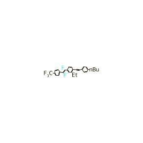 CCCCc1ccc(C#Cc2ccc(/C(F)=C(\F)c3ccc(C(F)(F)F)cc3)cc2CC)cc1